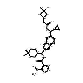 C[C@H](O)c1nonc1C(=O)N[C@H](c1cn2ncc(C(NC(=O)CC3CC(F)(F)C3)C3CC3)cc2n1)C1CCC(F)(F)CC1